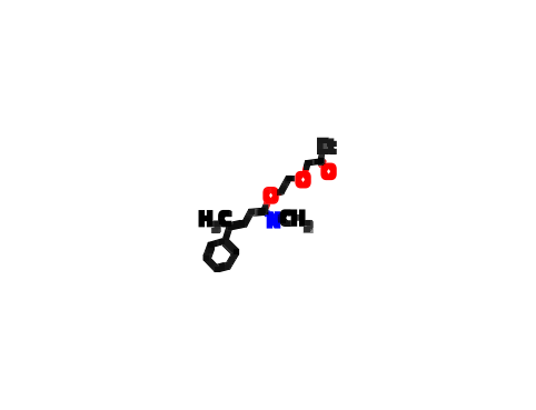 C=N/C(=C\C=C(/C)c1ccccc1)OCCOCC(=O)CC